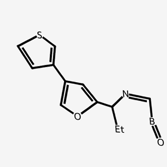 CCC(/N=C\B=O)c1cc(-c2ccsc2)co1